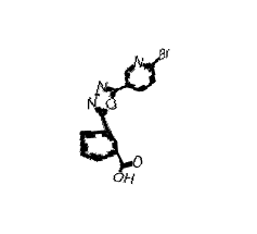 O=C(O)c1cccc(-c2nnc(-c3ccc(Br)nc3)o2)c1